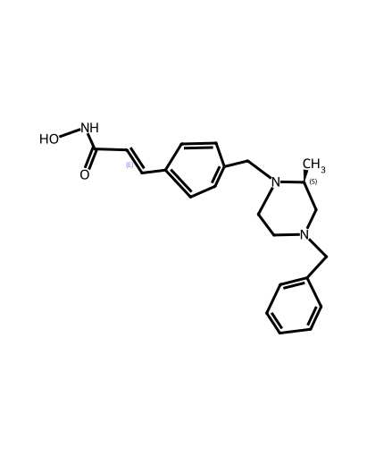 C[C@H]1CN(Cc2ccccc2)CCN1Cc1ccc(/C=C/C(=O)NO)cc1